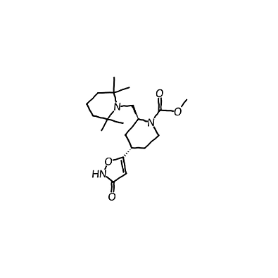 COC(=O)N1CC[C@H](c2cc(=O)[nH]o2)C[C@H]1CN1C(C)(C)CCCC1(C)C